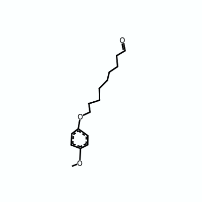 COc1ccc(OCCCCCCCCC=O)cc1